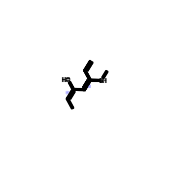 C=C/C(BC)=C\C(O)=C/C